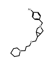 CC(=O)c1ccc(CN2CC3C(COCCCN4CCCCC4)C3C2)cc1